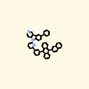 c1ccc(-c2ccc3c(c2)c2cnccc2n3-c2cccc(-c3cccc(-c4c5ccccc5c(-c5ccc6ccccc6c5)c5ccccc45)c3)n2)cc1